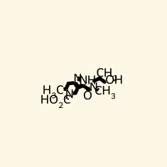 C=C(CO)CN(C)C(=O)c1[nH]nc2c1CN(C(=O)O)C(C)C2